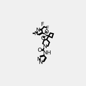 Cn1cc(S(=O)(=O)C2(C3CCN(C(=O)Nc4ccnnc4)CC3)CCC2)c(C(F)F)n1